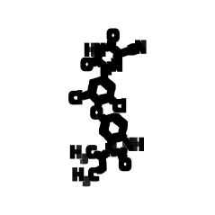 CCC(C)n1c(=O)[nH]c2ccc(Oc3c(Cl)cc(-n4nc(C#N)c(=O)[nH]c4=O)cc3Cl)cc21